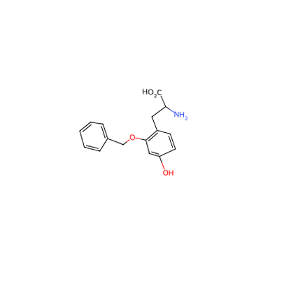 NC(Cc1ccc(O)cc1OCc1ccccc1)C(=O)O